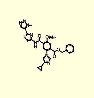 COc1cc(C(=O)OCc2ccccc2)c(-n2cnc(C3CC3)c2)cc1C(=O)Nc1csc(-c2cnnn2I)n1